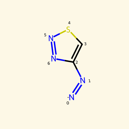 [N]=Nc1csnn1